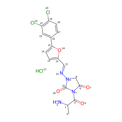 CC(N)C(=O)N1C(=O)CN(N=Cc2ccc(-c3ccc(Cl)c(Cl)c3)o2)C1=O.Cl